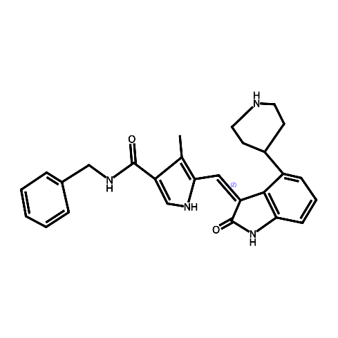 Cc1c(C(=O)NCc2ccccc2)c[nH]c1/C=C1\C(=O)Nc2cccc(C3CCNCC3)c21